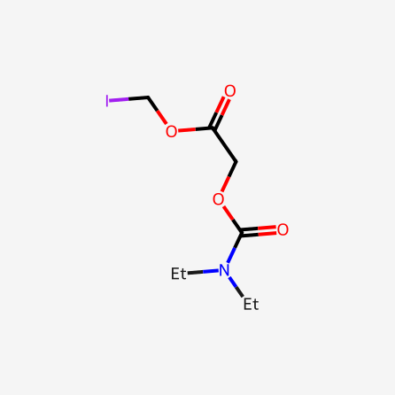 CCN(CC)C(=O)OCC(=O)OCI